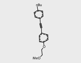 CCCCc1ccc(C#Cc2ccc(OCCOC)cc2)cc1